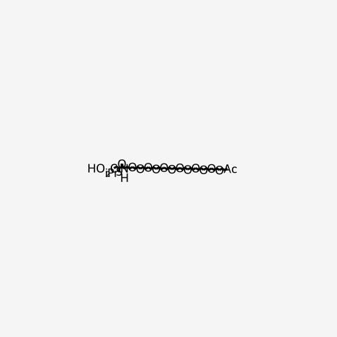 CC(=O)CCOCCOCCOCCOCCOCCOCCOCCOCCOCCOCCOCCOCCNC(=O)C(CC(=O)O)SC(C)C